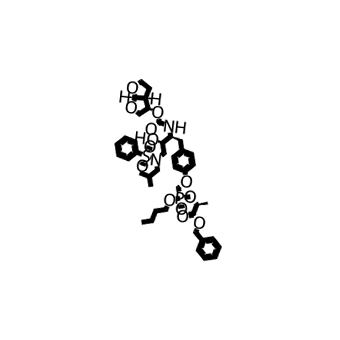 CCCCOP(=O)(COc1ccc(C[C@H](NC(=O)O[C@H]2CO[C@H]3OCC[C@H]32)[C@H](O)CN(CC(C)C)S(=O)(=O)c2ccccc2)cc1)O[C@@H](C)C(=O)OCc1ccccc1